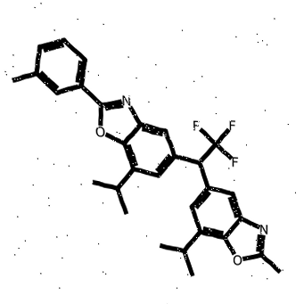 Cc1cccc(-c2nc3cc(C(c4cc(C(C)C)c5oc(C)nc5c4)C(F)(F)F)cc(C(C)C)c3o2)c1